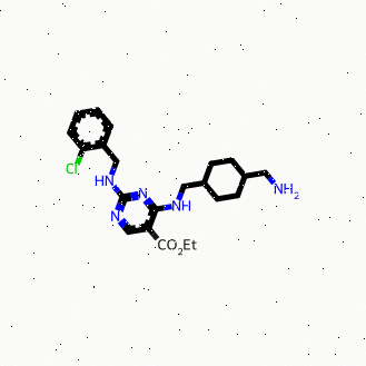 CCOC(=O)c1cnc(NCc2ccccc2Cl)nc1NCC1CCC(CN)CC1